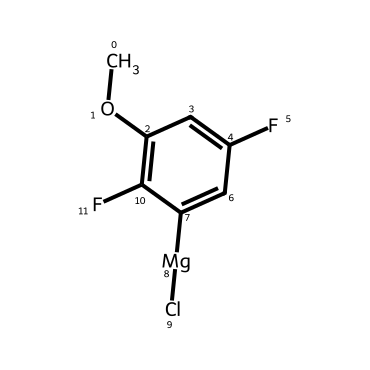 COc1cc(F)c[c]([Mg][Cl])c1F